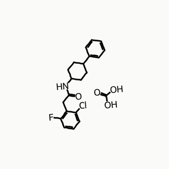 O=C(Cc1c(F)cccc1Cl)NC1CCC(c2ccccc2)CC1.O=C(O)O